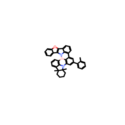 Cc1ccccc1-c1cc2c3c(c1)N1c4c(cccc4C4(C)CCCCC14C)B3n1c3c-2cccc3c2oc3ccccc3c21